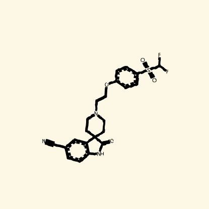 N#Cc1ccc2c(c1)C1(CCN(CCOc3ccc(S(=O)(=O)C(F)F)cc3)CC1)C(=O)N2